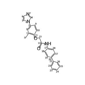 Cc1cc(-n2ccnc2)ccc1OCC(=O)Nc1ccc(-c2ccccc2)cc1